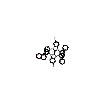 Fc1ccc2c(c1)N(c1cccc(-c3ccccc3)c1)/C(=C1\N(c3cccc(-c4ccccc4)c3)c3ccc(F)cc3N1c1cccc(-c3ccccc3)c1)N2c1cccc(-c2ccccc2)c1